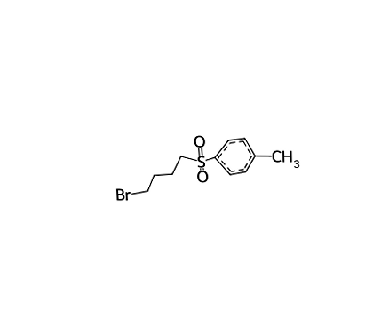 Cc1ccc(S(=O)(=O)CCCCBr)cc1